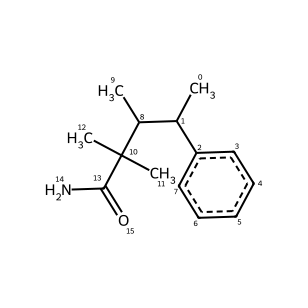 CC(c1ccccc1)C(C)C(C)(C)C(N)=O